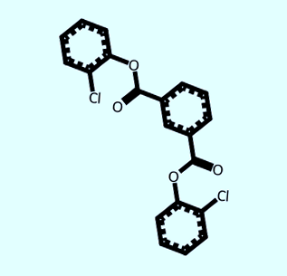 O=C(Oc1ccccc1Cl)c1cccc(C(=O)Oc2ccccc2Cl)c1